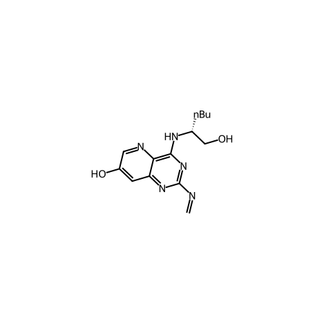 C=Nc1nc(N[C@@H](CO)CCCC)c2ncc(O)cc2n1